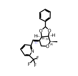 C[C@H]1OC/C(=C\c2cccc(C(F)(F)F)n2)[C@H]2OC(c3ccccc3)O[C@H]21